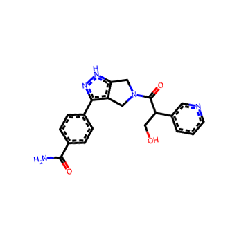 NC(=O)c1ccc(-c2n[nH]c3c2CN(C(=O)C(CO)c2cccnc2)C3)cc1